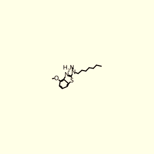 CCCCCCCN(N)c1nc2c(OC)cccc2s1